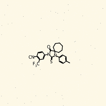 [C-]#[N+]c1ccc(N2C(=O)C3(CCCCCC3)N(c3ccc(C)cc3)C2=S)cc1C(F)(F)F